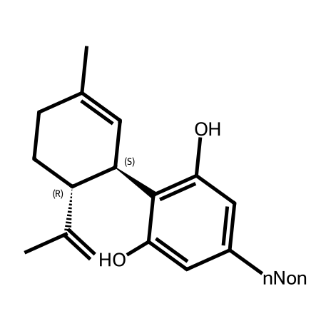 C=C(C)[C@@H]1CCC(C)=C[C@H]1c1c(O)cc(CCCCCCCCC)cc1O